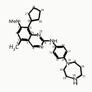 CNc1cc(C)c2cnc(Nc3ccc(N4CCCNCC4)cc3)nc2c1C1CCCC1